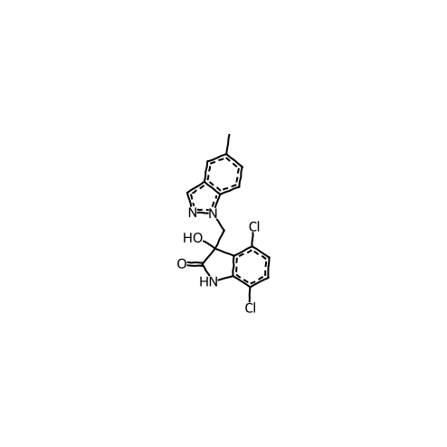 Cc1ccc2c(cnn2CC2(O)C(=O)Nc3c(Cl)ccc(Cl)c32)c1